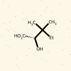 CCC(C)(C)[C@H](O)C(=O)O